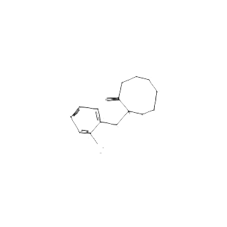 O=C1CCCCCCC1Cc1ccccc1O